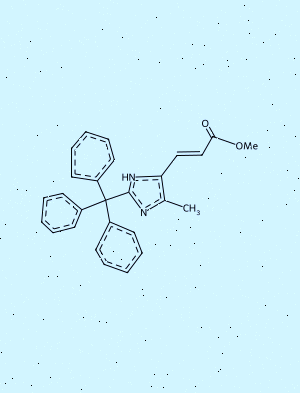 COC(=O)C=Cc1[nH]c(C(c2ccccc2)(c2ccccc2)c2ccccc2)nc1C